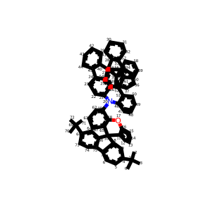 CC(C)(C)c1ccc2c(c1)C1(c3ccccc3Oc3c(N(c4ccc5c(c4)C4(c6ccccc6-c6ccccc64)c4ccccc4-5)c4c#cccc4-c4cccc5ccccc45)cccc31)c1cc(C(C)(C)C)ccc1-2